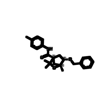 Cc1ccc(NC(=O)[C@@]23C[C@H](OCc4ccccc4)[C@@](C)(C2)OC3(C)C)cc1